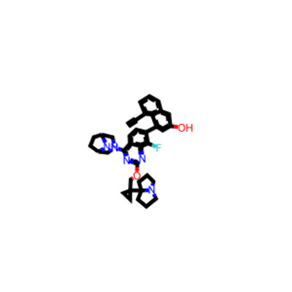 C#Cc1cccc2cc(O)cc(-c3ccc4c(N5CC6CCC(C5)N6)nc(OCC5(C67CCCN6CCC7)CC5)nc4c3F)c12